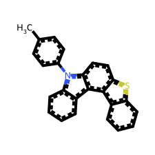 Cc1ccc(-n2c3ccccc3c3c4c(ccc32)sc2ccccc24)cc1